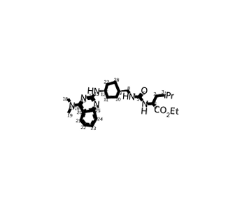 CCOC(=O)C(CC(C)C)NC(=O)NC[C@H]1CC[C@@H](Nc2nc(N(C)C)c3ccccc3n2)CC1